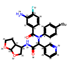 CC(C)(C)c1ccc(N(C(=O)c2ccc(F)c(N)c2)C(C(=O)NC2COC3OCCC23)c2cccnc2)cc1